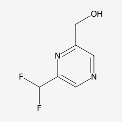 OCc1cncc(C(F)F)n1